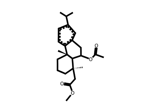 COC(=O)C[C@@]1(C)CCC[C@]2(C)c3ccc(C(C)C)cc3CC(OC(C)=O)C12